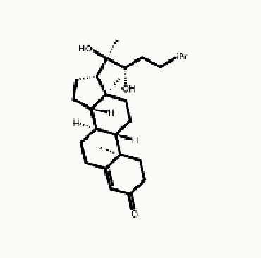 CC(C)CC[C@H](O)[C@](C)(O)[C@H]1CC[C@H]2[C@@H]3CCC4=CC(=O)CC[C@]4(C)[C@H]3CC[C@]12C